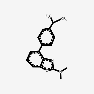 CN(C)c1nc2c(-c3ccc(C(C(F)(F)F)C(F)(F)F)cc3)cccc2o1